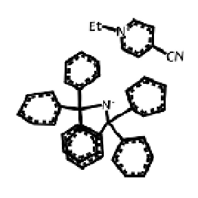 CC[n+]1ccc(C#N)cc1.c1ccc(C([N-]C(c2ccccc2)(c2ccccc2)c2ccccc2)(c2ccccc2)c2ccccc2)cc1